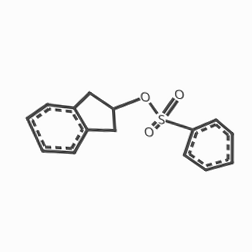 O=S(=O)(OC1Cc2ccccc2C1)c1ccccc1